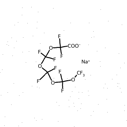 O=C([O-])C(F)(F)OC(F)(F)OC(F)(F)OC(F)(F)OC(F)(F)F.[Na+]